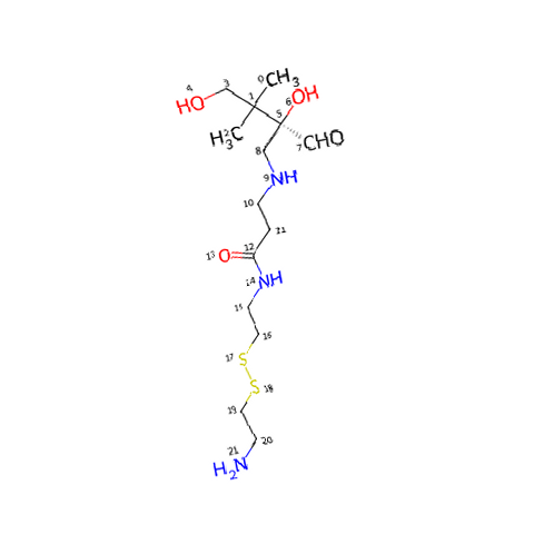 CC(C)(CO)[C@](O)(C=O)CNCCC(=O)NCCSSCCN